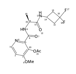 COc1ccnc(C(=O)N[C@@H](C)C(=O)NC2CC(F)(F)C2)c1OC(C)=O